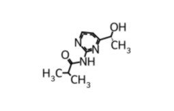 CC(C)C(=O)Nc1nccc([C@@H](C)O)n1